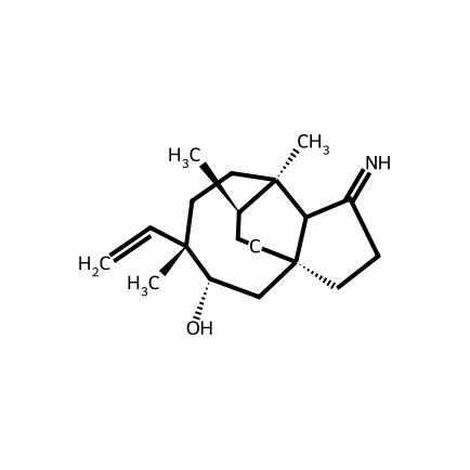 C=C[C@]1(C)CC[C@@]2(C)C3C(=N)CC[C@@]3(CC[C@H]2C)C[C@@H]1O